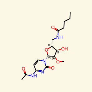 CCCCC(=O)NC[C@H]1O[C@@H](n2ccc(NC(C)=O)nc2=O)[C@H](OC)[C@@H]1O